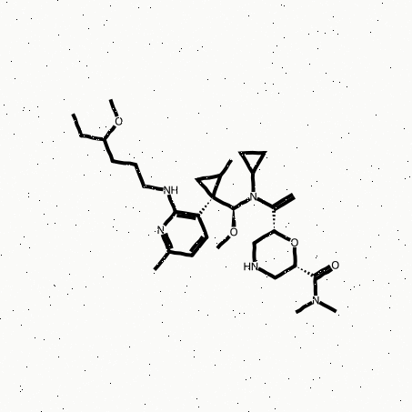 C=C([C@H]1CNC[C@@H](C(=O)N(C)C)O1)N(C1CC1)[C@@H](OC)[C@@]1(c2ccc(C)nc2NCCCC(CC)OC)CC1C